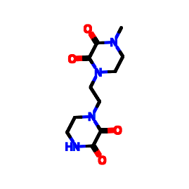 CN1CCN(CCN2CCNC(=O)C2=O)C(=O)C1=O